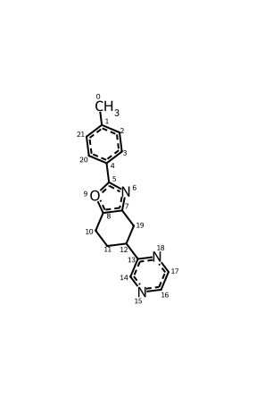 Cc1ccc(-c2nc3c(o2)CCC(c2cnccn2)C3)cc1